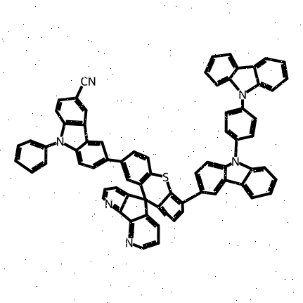 N#Cc1ccc2c(c1)c1cc(-c3ccc4c(c3)C3(c5cccnc5-c5ncccc53)c3cccc(-c5ccc6c(c5)c5ccccc5n6-c5ccc(-n6c7ccccc7c7ccccc76)cc5)c3S4)ccc1n2-c1ccccc1